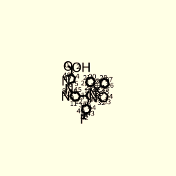 O=C(O)c1ccc(-n2cnc3ccc(-c4cn(C(c5ccccc5)(c5ccccc5)C5C=CC=CC5)nc4-c4ccc(F)cc4)cc32)nc1